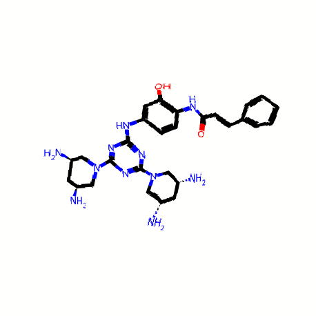 N[C@@H]1C[C@H](N)CN(c2nc(Nc3ccc(NC(=O)C=Cc4ccccc4)c(O)c3)nc(N3C[C@H](N)C[C@H](N)C3)n2)C1